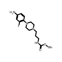 CC(C)(C)OC(=O)NCCCN1CCN(c2ccc(N)cc2F)CC1